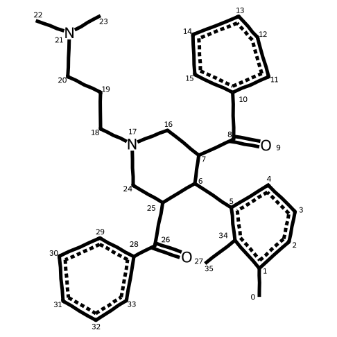 Cc1cccc(C2C(C(=O)c3ccccc3)CN(CCCN(C)C)CC2C(=O)c2ccccc2)c1C